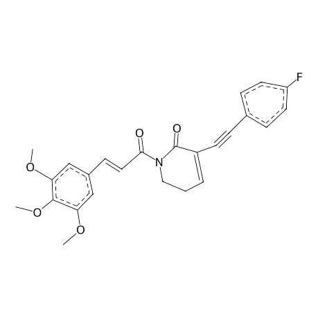 COc1cc(C=CC(=O)N2CCC=C(C#Cc3ccc(F)cc3)C2=O)cc(OC)c1OC